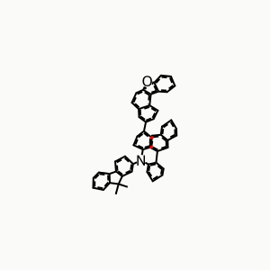 CC1(C)c2ccccc2-c2ccc(N(c3ccc(-c4ccc5c(ccc6oc7ccccc7c65)c4)cc3)c3ccccc3-c3ccc4ccccc4c3)cc21